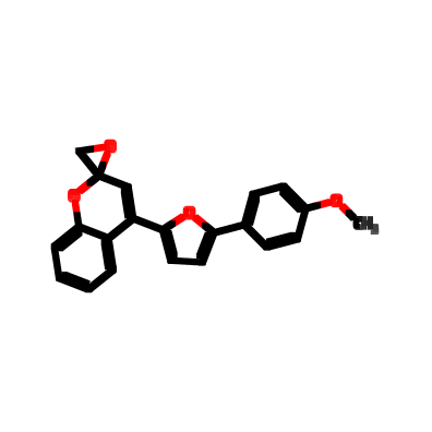 COc1ccc(-c2ccc(C3=CC4(CO4)Oc4ccccc43)o2)cc1